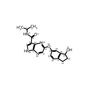 CC(C)NC(=O)c1c[nH]c2ncc(Oc3ccc4c(c3)C(O)CC4)nc12